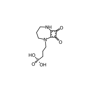 O=c1c2c(c1=O)N(CCCP(=O)(O)O)CCCN2